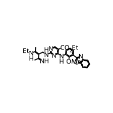 CCN/C(C)=C(/CNc1ncc(C(=O)OCC)c(Nc2cccc(-c3nc4ccccc4o3)c2OC)n1)C(C)=N